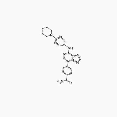 NC(=O)c1ccc(-c2cnc(Nc3cnc(N4CCCCC4)nc3)c3ncnn23)cc1